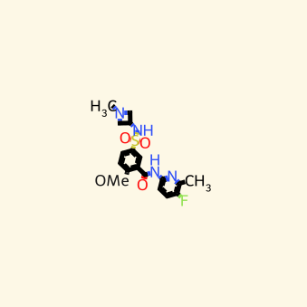 COc1ccc(S(=O)(=O)NC2CN(C)C2)cc1C(=O)Nc1ccc(F)c(C)n1